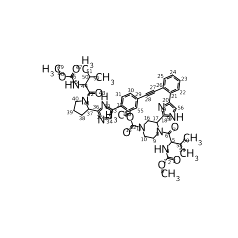 COC(=O)NC(C(=O)N1CCN(C(=O)OC)CC1c1nc(-c2ccccc2C#Cc2ccc(-c3cnc(C4CCCN4C(=O)C(NC(=O)OC)C(C)C)[nH]3)cc2)c[nH]1)C(C)C